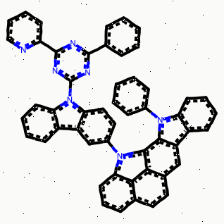 c1ccc(-c2nc(-c3ccccn3)nc(-n3c4ccccc4c4cc(-n5c6cccc7ccc8cc9c%10ccccc%10n(-c%10ccccc%10)c9c5c8c76)ccc43)n2)cc1